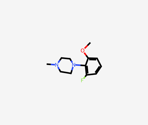 COc1cccc(F)c1N1CCN(C)CC1